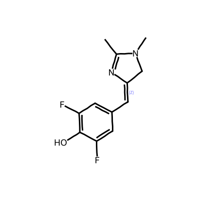 CC1=N/C(=C\c2cc(F)c(O)c(F)c2)CN1C